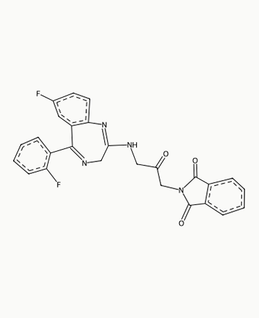 O=C(CNC1=Nc2ccc(F)cc2C(c2ccccc2F)=NC1)CN1C(=O)c2ccccc2C1=O